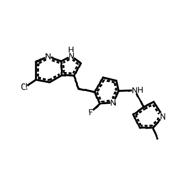 Cc1ccc(Nc2ccc(Cc3c[nH]c4ncc(Cl)cc34)c(F)n2)cn1